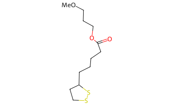 COCCCOC(=O)CCCCC1CCSS1